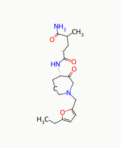 CCc1ccc(CN2CCC[C@H](NC(=O)[CH]CC(C)C(N)=O)C(=O)C2)o1